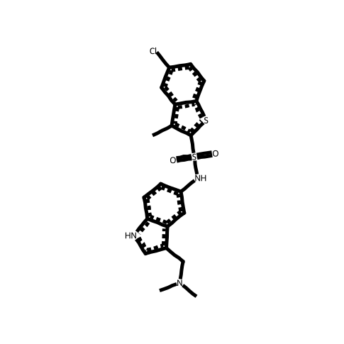 Cc1c(S(=O)(=O)Nc2ccc3[nH]cc(CN(C)C)c3c2)sc2ccc(Cl)cc12